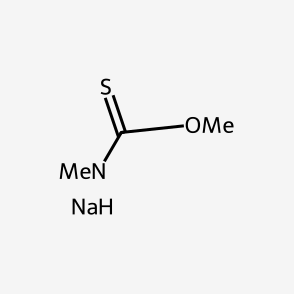 CNC(=S)OC.[NaH]